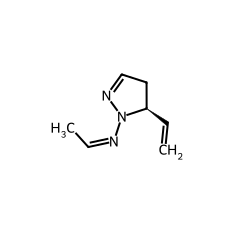 C=C[C@@H]1CC=NN1/N=C\C